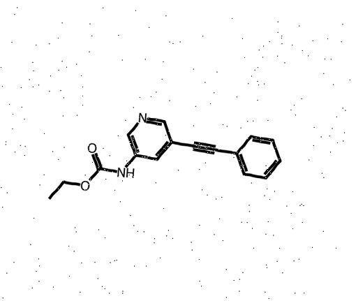 CCOC(=O)Nc1cncc(C#Cc2ccccc2)c1